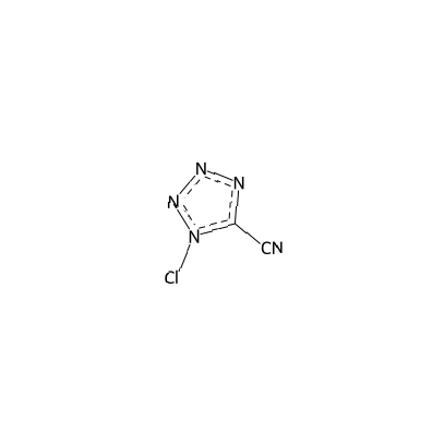 N#Cc1nnnn1Cl